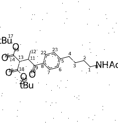 CC(=O)NCCCCc1ccc(C(=O)C(C)C(C(=O)OC(C)(C)C)C(=O)OC(C)(C)C)cc1